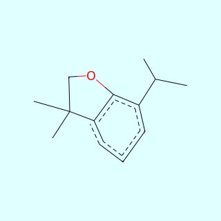 CC(C)c1cccc2c1OCC2(C)C